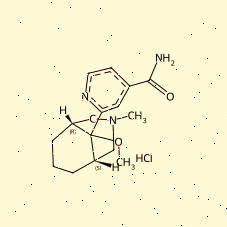 COC1(c2cc(C(N)=O)ccn2)[C@@H]2CCC[C@H]1CN(C)C2.Cl